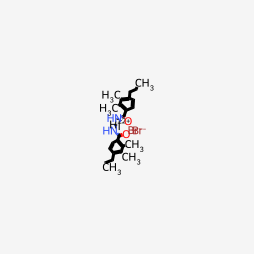 CCCc1ccc(C(=O)[NH][Hf+2][NH]C(=O)c2ccc(CCC)c(C)c2C)c(C)c1C.[Br-].[Br-]